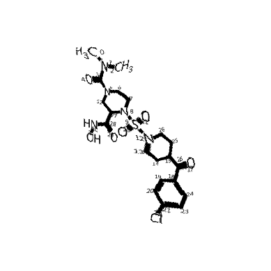 CN(C)C(=O)N1CCN(S(=O)(=O)N2CCC(C(=O)c3ccc(Cl)cc3)CC2)C(C(=O)NO)C1